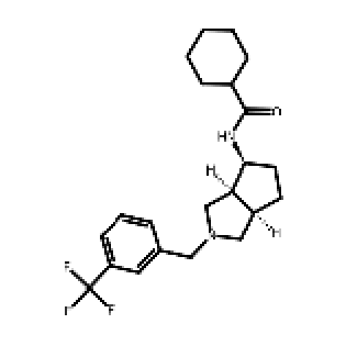 O=C(N[C@H]1CC[C@H]2CN(Cc3cccc(C(F)(F)F)c3)C[C@H]21)C1CCCCC1